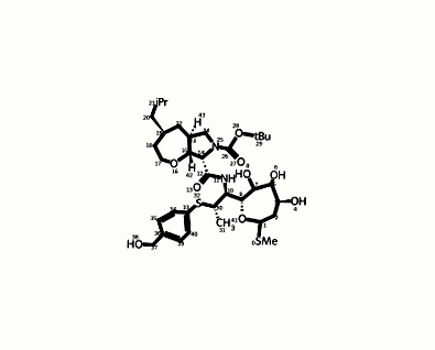 CSC1C[C@H](O)C(O)C(O)[C@@H]([C@H](NC(=O)[C@@H]2[C@@H]3OCC[C@@H](CC(C)C)C[C@H]3CN2C(=O)OC(C)(C)C)[C@H](C)Sc2ccc(CO)cc2)O1